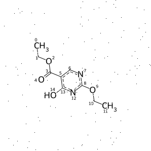 CCOC(=O)c1cnc(OCC)nc1O